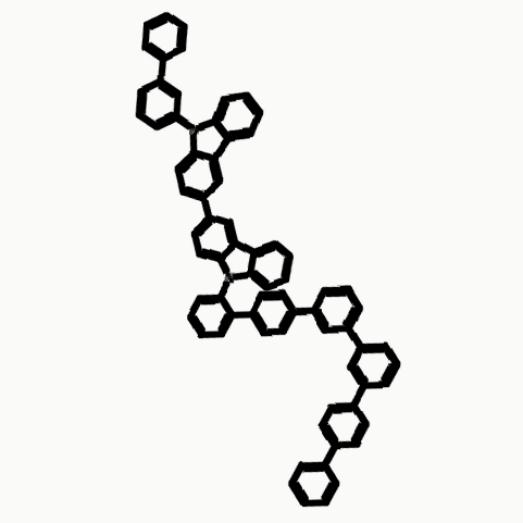 c1ccc(-c2ccc(-c3cccc(-c4cccc(-c5ccc(-c6ccccc6-n6c7ccccc7c7cc(-c8ccc9c(c8)c8ccccc8n9-c8cccc(-c9ccccc9)c8)ccc76)cc5)c4)c3)cc2)cc1